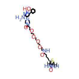 Nc1nnc(-c2ccccc2O)cc1N1CCN(C(=O)CCOCCOCCOCCOCCNC(=O)CCCC[C@@H]2SC[C@@H]3NC(=O)N[C@@H]32)CC1